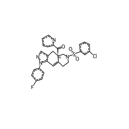 O=C(c1ccccn1)[C@]12Cc3cnn(-c4ccc(F)cc4)c3C=C1CCN(S(=O)(=O)c1cccc(Cl)c1)C2